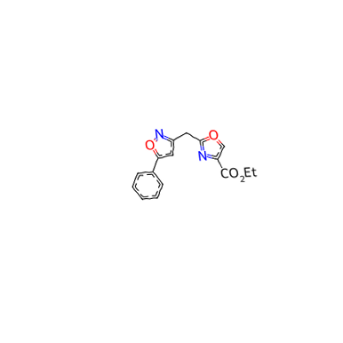 CCOC(=O)c1coc(Cc2cc(-c3ccccc3)on2)n1